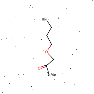 CNC(=O)COCCCC(C)(C)C